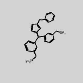 NCc1cccc(C([C]2C=CC(Cc3ccccc3)=C2)c2cccc(CN)c2)c1